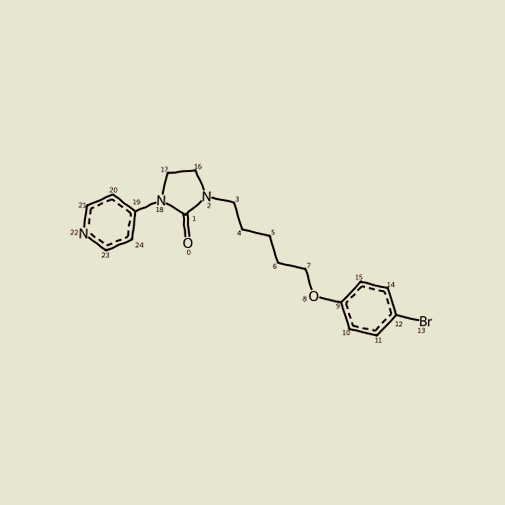 O=C1N(CCCCCOc2ccc(Br)cc2)CCN1c1ccncc1